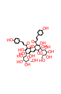 O=C(/C=C/c1ccc(O)cc1)C1=C(O)[C@](O)([C@@H]2O[C@H](CO)[C@@H](O)[C@H](O)[C@H]2O)C(O)=C(/C=C2\C(=O)C(C(=O)/C=C/c3ccc(O)cc3)=C(O)[C@@](O)([C@@H]3O[C@H](CO)[C@@H](O)[C@H](O)[C@H]3O)C2=O)C1=O